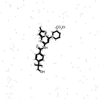 CCOC(=O)[C@@H]1CCCN(c2cc(NC(=O)c3ccc(C(C)(C)CO)cc3)nc3cc(C)nn23)C1